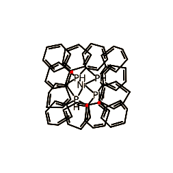 c1ccc([PH](c2ccccc2)(c2ccccc2)[Ni]([PH](c2ccccc2)(c2ccccc2)c2ccccc2)([PH](c2ccccc2)(c2ccccc2)c2ccccc2)[PH](c2ccccc2)(c2ccccc2)c2ccccc2)cc1